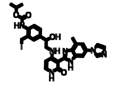 Cc1cc(-n2ccnc2)cc2[nH]c(-c3c(NCC(O)c4ccc(NC(=O)OC(C)C)c(CI)c4)cc[nH]c3=O)nc12